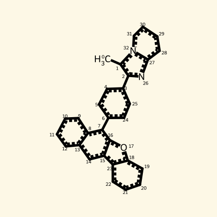 Cc1c(-c2ccc(-c3c4ccccc4cc4c3oc3ccccc34)cc2)nc2ccccn12